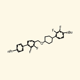 CCCCc1ccc(C2CCC(OCc3ccc(-c4ccc(CCC)cc4)c(F)c3F)CC2)c(F)c1F